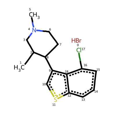 Br.CC1CN(C)CCC1c1csc2cccc(Cl)c12